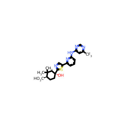 CC1(C)C[C@@](O)(c2ncc(-c3cccc(Nc4cc(C(F)(F)F)ncn4)n3)s2)CC[C@H]1C(=O)O